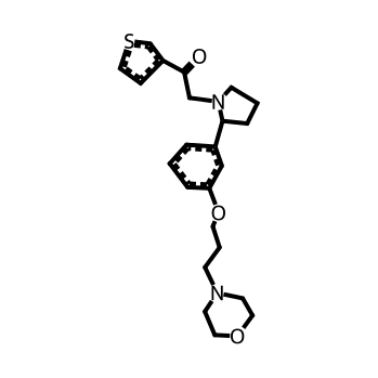 O=C(CN1CCCC1c1cccc(OCCCN2CCOCC2)c1)c1ccsc1